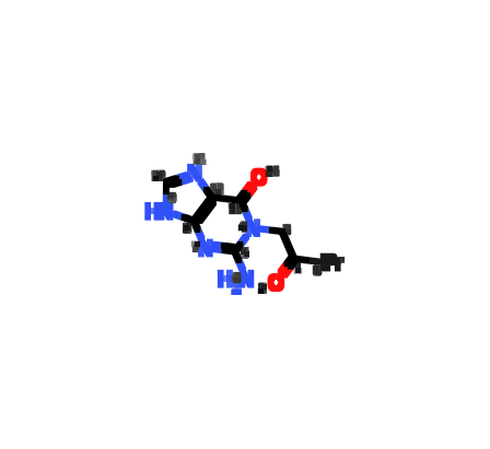 CC(C)C(=O)Cn1c(N)nc2[nH]cnc2c1=O